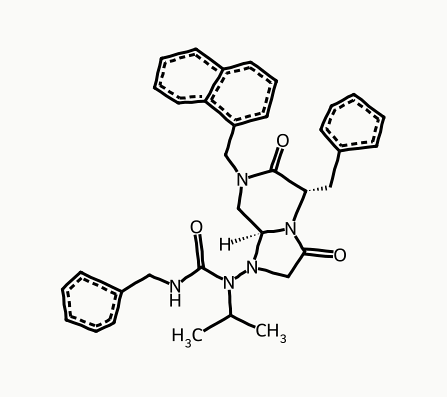 CC(C)N(C(=O)NCc1ccccc1)N1CC(=O)N2[C@@H](Cc3ccccc3)C(=O)N(Cc3cccc4ccccc34)C[C@@H]21